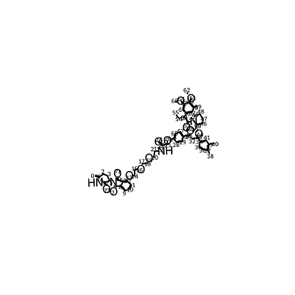 C=C1CCC(N2C(=O)c3cccc(OCCOCCOCCNC(=O)COc4ccc([C@@H](CCc5ccc(C)c(C)c5)OC(=O)[C@@H]5CCCCN5C(=O)[C@@H](CC)c5cc(C)c(OC)c(OC)c5)cc4)c3C2=O)C(=O)N1